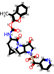 Cc1c(OC(=O)NC(CC2CC2)C(=O)N2CCC3C2C(=O)CN3S(=O)(=O)C(=O)c2cccnc2)oc2ccccc12